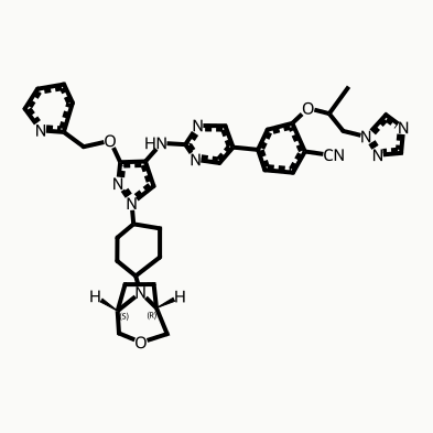 CC(Cn1cncn1)Oc1cc(-c2cnc(Nc3cn(C4CCC(N5[C@@H]6CC[C@H]5COC6)CC4)nc3OCc3ccccn3)nc2)ccc1C#N